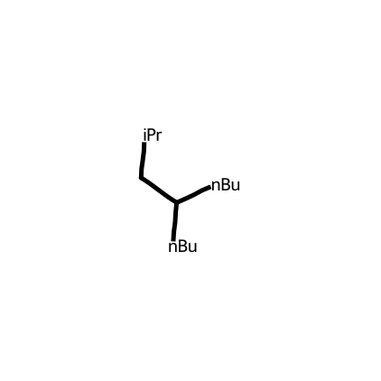 [CH2]CCCC(CCCC)CC(C)C